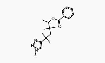 CC(OC(=O)c1ccccc1)C(C)(C)CC(C)(C)c1cn(C)nn1